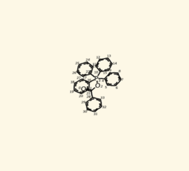 O=C(OP(c1ccccc1)(c1ccccc1)(c1ccccc1)c1ccccc1)c1ccccc1